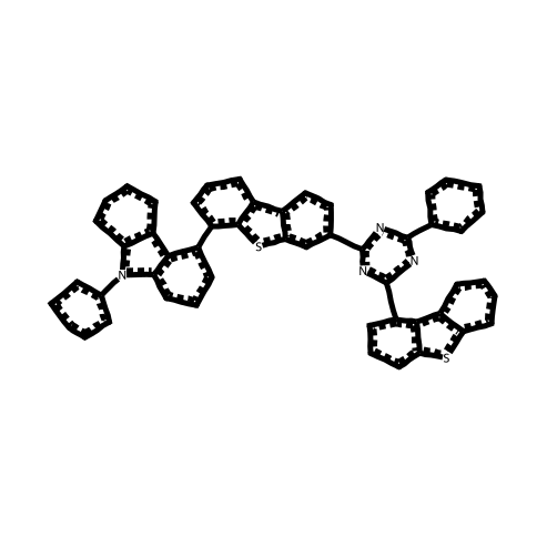 c1ccc(-c2nc(-c3ccc4c(c3)sc3c(-c5cccc6c5c5ccccc5n6-c5ccccc5)cccc34)nc(-c3cccc4sc5ccccc5c34)n2)cc1